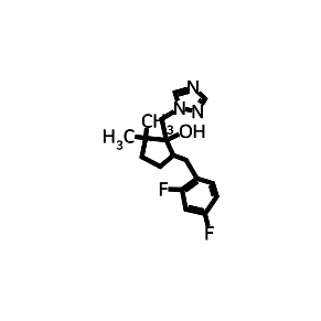 CC1(C)CCC(Cc2ccc(F)cc2F)C1(O)Cn1cncn1